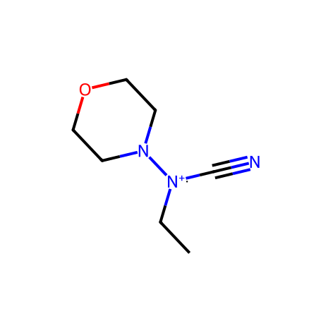 CC[N+](C#N)N1CCOCC1